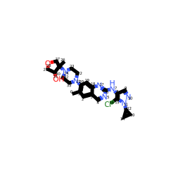 Cc1cc2cnc(Nc3cnn(C4CC4)c3Cl)nc2cc1N1CCN(C2(C)COCC2O)CC1